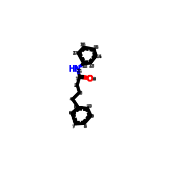 O=C(CCCc1ccccc1)Nc1ccccc1